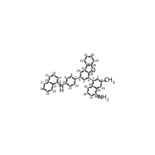 Cc1cc(-c2cc(-c3ccc(Nc4cccc5ccccc45)cc3)cc3c2oc2ccccc23)c2cccc(N)c2c1